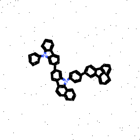 c1ccc(-n2c3ccccc3c3ccc(-c4ccc5c6ccc7ccccc7c6n(-c6ccc(-c7ccc8c(c7)-c7cccc9cccc-8c79)cc6)c5c4)cc32)cc1